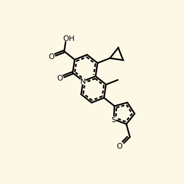 Cc1c(-c2ccc(C=O)s2)ccn2c(=O)c(C(=O)O)cc(C3CC3)c12